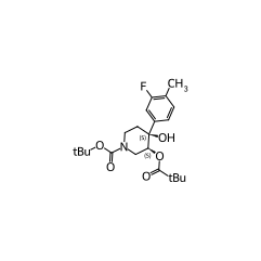 Cc1ccc([C@@]2(O)CCN(C(=O)OC(C)(C)C)C[C@@H]2OC(=O)C(C)(C)C)cc1F